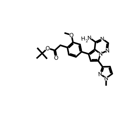 COc1cc(-c2cc(-c3ccn(C)n3)n3ncnc(N)c23)ccc1CC(=O)OC(C)(C)C